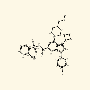 COCC1CCN(c2cc(C(=O)NS(=O)(=O)c3cccnc3N)nc3c2c(C2CCC2)nn3-c2ccc(F)cc2)CC1